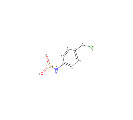 O=[SH](=O)Nc1ccc(CBr)cc1